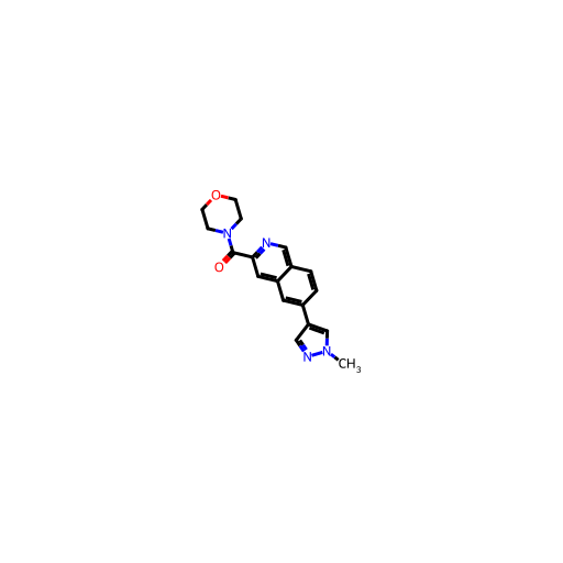 Cn1cc(-c2ccc3cnc(C(=O)N4CCOCC4)cc3c2)cn1